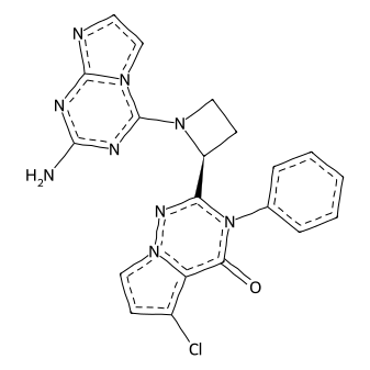 Nc1nc(N2CC[C@H]2c2nn3ccc(Cl)c3c(=O)n2-c2ccccc2)n2ccnc2n1